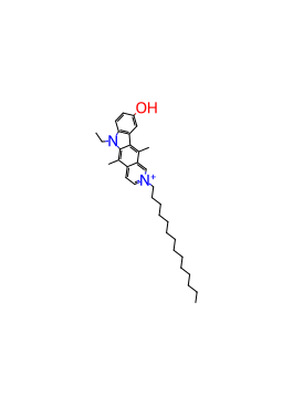 CCCCCCCCCCCCCC[n+]1ccc2c(C)c3c(c(C)c2c1)c1cc(O)ccc1n3CC